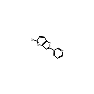 Clc1ccc2sc(-c3cccnc3)cc2n1